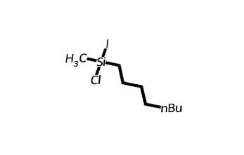 CCCCCCCC[Si](C)(Cl)I